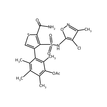 CC(=O)Oc1c(C)c(C)c(C)c(-c2csc(C(N)=O)c2S(=O)(=O)Nc2onc(C)c2Cl)c1C